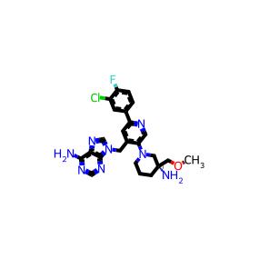 COC[C@@]1(N)CCCN(c2cnc(-c3ccc(F)c(Cl)c3)cc2Cn2cnc3c(N)ncnc32)C1